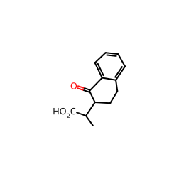 CC(C(=O)O)C1CCc2ccccc2C1=O